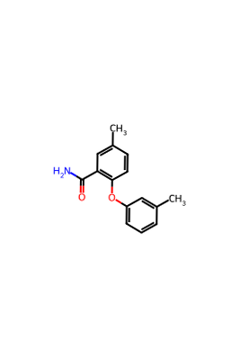 Cc1cccc(Oc2ccc(C)cc2C(N)=O)c1